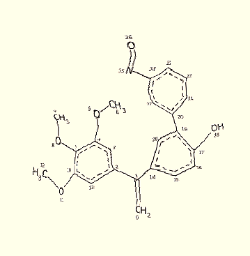 C=C(c1cc(OC)c(OC)c(OC)c1)c1ccc(O)c(-c2cccc(N=O)c2)c1